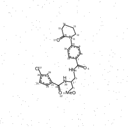 COCC(CNC(=O)c1ccc(N2CCCCC2=O)cc1)NC(=O)c1ccc(Cl)s1